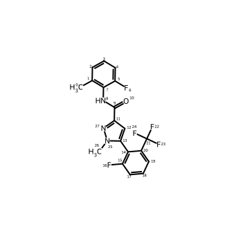 Cc1cccc(F)c1NC(=O)c1cc(-c2c(F)cccc2C(F)(F)F)n(C)n1